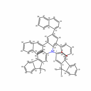 CC1(C)c2cc(N(c3ccc4c(c3)C(C)(C)c3ccccc3-4)c3c(C4=CC=CCC4)cc(-c4cccc5ccccc45)cc3-c3ccc4ccccc4c3)c#cc2-c2ccccc21